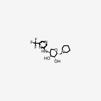 O[C@@H]1[C@H](O)[C@@H](Nc2cncc(C(F)(F)F)n2)CO[C@@H]1CN1CCCCC1